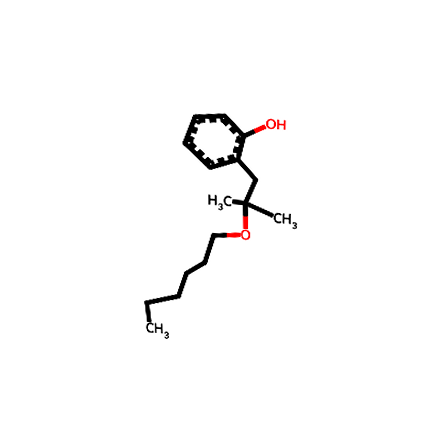 CCCCCCOC(C)(C)Cc1ccccc1O